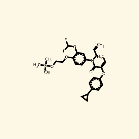 C=CCN(C(=O)C(=CC)Oc1ccc(C2CC2)cc1)c1ccc(OCCO[Si](C)(C)C(C)(C)C)c(OC(F)F)c1